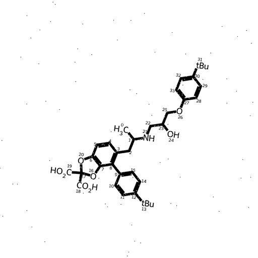 CC(Cc1ccc2c(c1-c1ccc(C(C)(C)C)cc1)OC(C(=O)O)(C(=O)O)O2)NCC(O)COc1ccc(C(C)(C)C)cc1